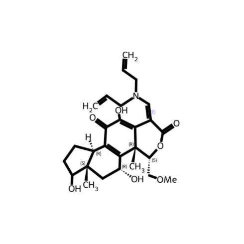 C=CCN(/C=C1/C(=O)O[C@H](COC)[C@@]2(C)C1=C(O)C(=O)C1=C2[C@H](O)C[C@]2(C)C(O)CC[C@@H]12)CC=C